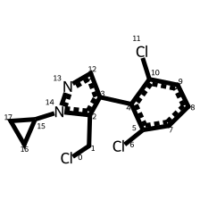 ClCc1c(-c2c(Cl)cccc2Cl)cnn1C1CC1